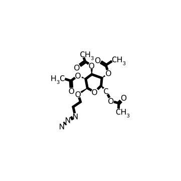 CC(=O)OC[C@H]1O[C@@H](OCCN=[N+]=[N-])[C@H](OC(C)=O)[C@@H](OC(C)=O)[C@@H]1OC(C)=O